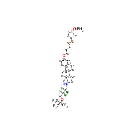 BOC1CCC(SSCCCOc2ccc3c(c2)CCC2C3CC[C@@]3(C)C2CC[C@@H]3NCC(F)(F)C(F)(F)COC(C(F)(F)F)(C(F)(F)F)C(F)(F)F)C1